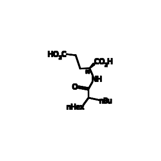 CCCCCCC(CCCC)C(=O)N[C@@H](CCC(=O)O)C(=O)O